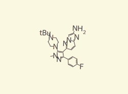 Cn1nc(-c2ccc(F)cc2)c(-c2ccc3nc(N)cn3n2)c1N1CCN(C(C)(C)C)CC1